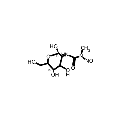 CN(N=O)C(=O)NC1C(O)[C@H](O)C(CO)O[C@H]1O